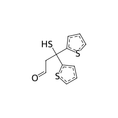 O=CCC(S)(c1cccs1)c1cccs1